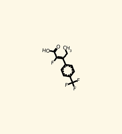 CCC(=C(F)C(=O)O)c1ccc(C(F)(F)F)cc1